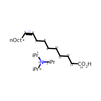 CC(C)N(C(C)C)C(C)C.CCCCCCCC/C=C\CCCCCCCC(=O)O